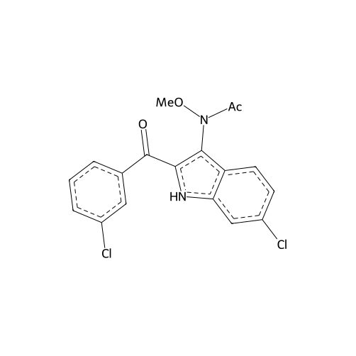 CON(C(C)=O)c1c(C(=O)c2cccc(Cl)c2)[nH]c2cc(Cl)ccc12